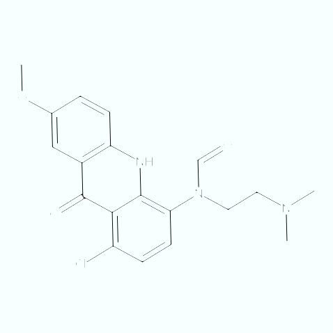 COc1ccc2[nH]c3c(N(C=O)CCN(C)C)ccc(Cl)c3c(=O)c2c1